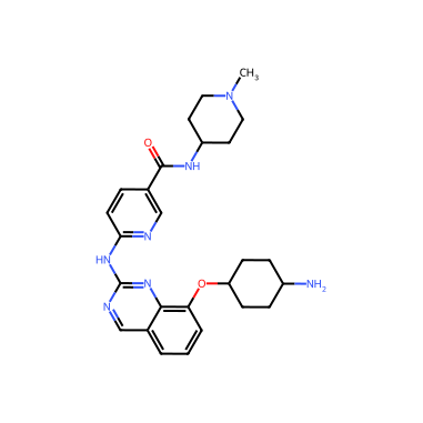 CN1CCC(NC(=O)c2ccc(Nc3ncc4cccc(OC5CCC(N)CC5)c4n3)nc2)CC1